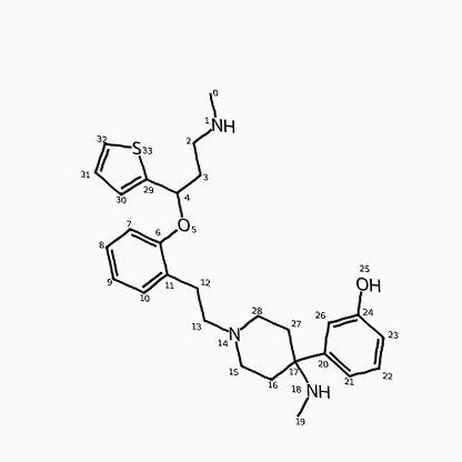 CNCCC(Oc1ccccc1CCN1CCC(NC)(c2cccc(O)c2)CC1)c1cccs1